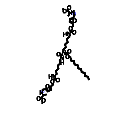 CCCCCCCCCCCCOC(=O)N(CCCCCCNC(=O)OCc1ccc(/C=N\C(C)C(=O)OC)o1)C(=O)NCCCCCCNC(=O)OCc1ccc(/C=N\C(C)C(=O)OC)o1